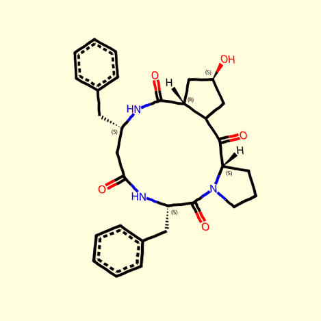 O=C1C[C@H](Cc2ccccc2)NC(=O)[C@@H]2C[C@@H](O)CC2C(=O)[C@@H]2CCCN2C(=O)[C@H](Cc2ccccc2)N1